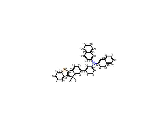 CC1(C)c2cc(-c3cccc(N(c4ccc5ccccc5c4)c4ccc5ccccc5c4)c3)ccc2-c2sc3ccccc3c21